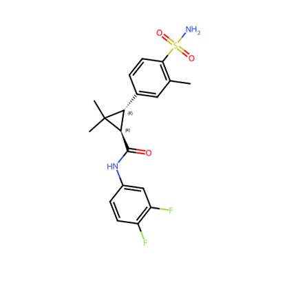 Cc1cc([C@@H]2[C@@H](C(=O)Nc3ccc(F)c(F)c3)C2(C)C)ccc1S(N)(=O)=O